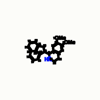 COc1cc2c(cc1OC)C(C1[CH]c3cccc4cccc1c34)NCC2